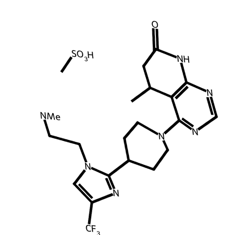 CNCCn1cc(C(F)(F)F)nc1C1CCN(c2ncnc3c2C(C)CC(=O)N3)CC1.CS(=O)(=O)O